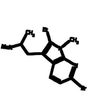 CCc1c(CC(C)NC)c2ccc(Br)nc2n1C